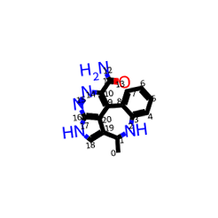 CC1Nc2ccccc2-c2c(C(N)=O)nnc3[nH]cc1c23